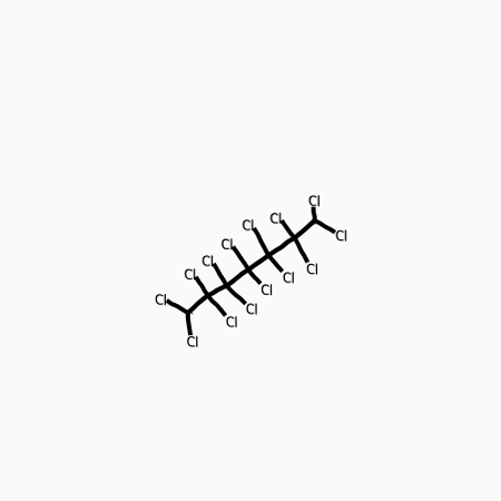 Cl[C](Cl)C(Cl)(Cl)C(Cl)(Cl)C(Cl)(Cl)C(Cl)(Cl)C(Cl)(Cl)[C](Cl)Cl